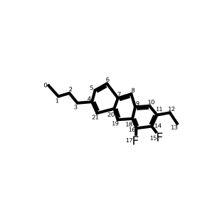 CCCCc1ccc2cc3cc(CC)c(F)c(F)c3cc2c1